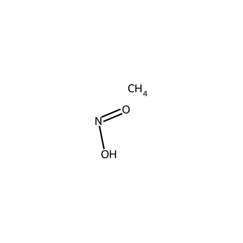 C.O=NO